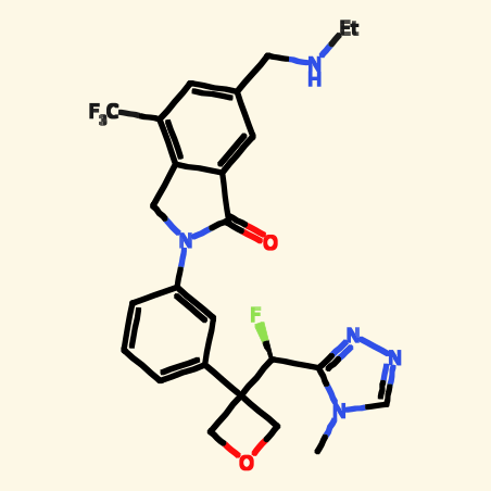 CCNCc1cc2c(c(C(F)(F)F)c1)CN(c1cccc(C3([C@@H](F)c4nncn4C)COC3)c1)C2=O